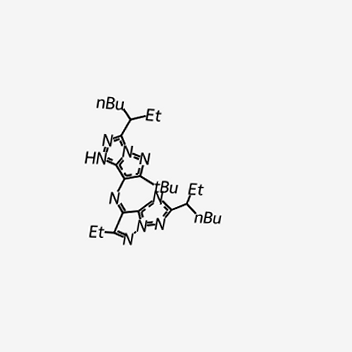 CCCCC(CC)c1nc2n(n1)N=C(CC)/C2=N/c1c(C(C)(C)C)nn2c(C(CC)CCCC)n[nH]c12